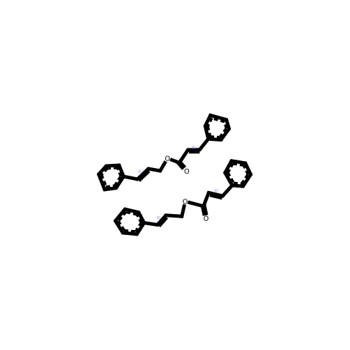 O=C(/C=C/c1ccccc1)OC/C=C/c1ccccc1.O=C(/C=C/c1ccccc1)OC/C=C/c1ccccc1